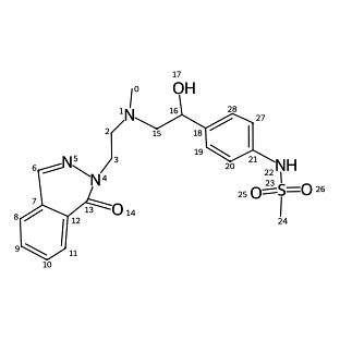 CN(CCn1ncc2ccccc2c1=O)CC(O)c1ccc(NS(C)(=O)=O)cc1